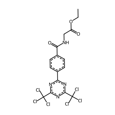 CCOC(=O)CNC(=O)c1ccc(-c2nc(C(Cl)(Cl)Cl)nc(C(Cl)(Cl)Cl)n2)cc1